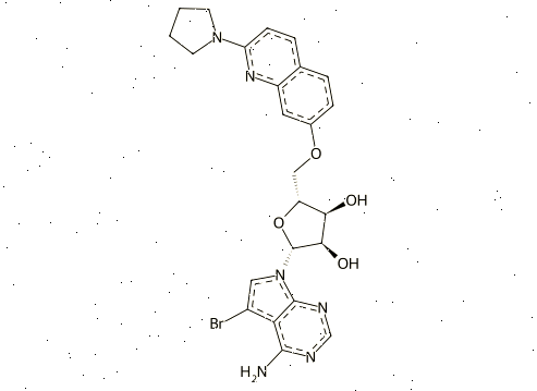 Nc1ncnc2c1c(Br)cn2[C@@H]1O[C@H](COc2ccc3ccc(N4CCCC4)nc3c2)[C@@H](O)[C@H]1O